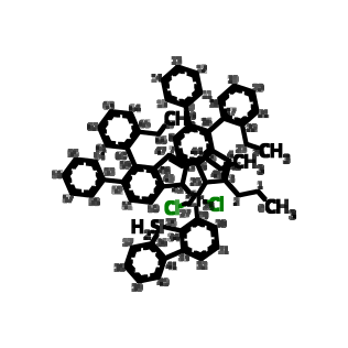 CCCC1=Cc2c(ccc(-c3ccccc3)c2-c2ccccc2CC)[CH]1[Zr]([Cl])([Cl])([c]1cccc2c1[SiH2]c1ccccc1-2)[CH]1C(CCC)=Cc2c1ccc(-c1ccccc1)c2-c1ccccc1CC